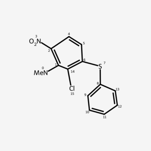 CNc1c([N+](=O)[O-])ccc(Sc2ccccc2)c1Cl